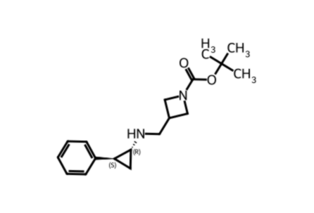 CC(C)(C)OC(=O)N1CC(CN[C@@H]2C[C@H]2c2ccccc2)C1